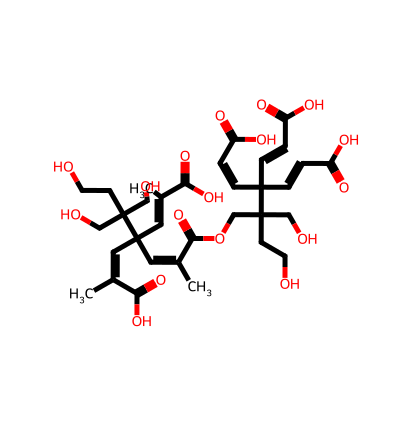 CC(=CC(C=C(C)C(=O)O)(C=C(C)C(=O)OCC(CO)(CCO)C(C=CC(=O)O)(C=CC(=O)O)C=CC(=O)O)C(CO)(CO)CCO)C(=O)O